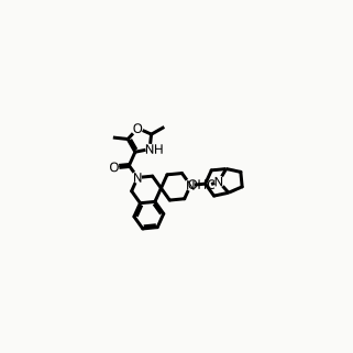 CC1=C(C(=O)N2Cc3ccccc3C3(CCN(C4CC5CCC(C4)N5C=O)CC3)C2)NC(C)O1